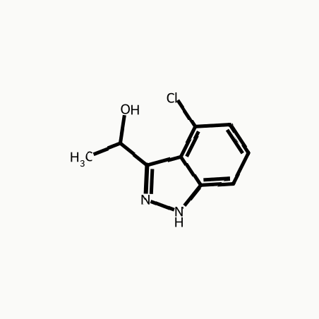 CC(O)c1n[nH]c2cccc(Cl)c12